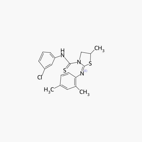 Cc1ccc(/N=C2/SC(C)CN2C(=S)Nc2cccc(Cl)c2)c(C)c1